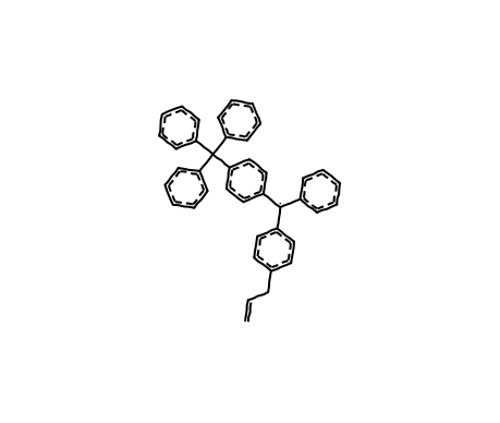 C=CCc1ccc([C](c2ccccc2)c2ccc(C(c3ccccc3)(c3ccccc3)c3ccccc3)cc2)cc1